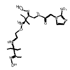 CC(=NO)C(C)(C)NCCONC(C)(C)C(CNC(=O)Cn1ccnc1[N+](=O)[O-])=NO